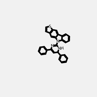 C1=C(c2ccccc2)N=C(n2c3ccccc3c3cc4sccc4cc32)NC1c1ccccc1